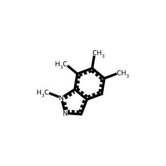 Cc1cc2cnn(C)c2c(C)c1C